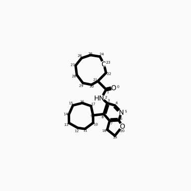 O=C(Nc1cnc2c(c1C1CCCCCCCC1)CCO2)C1CCCCCCCCC1